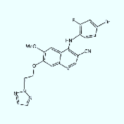 COc1cc2c(Nc3ccc(Br)cc3F)c(C#N)cnc2cc1OCCn1nccn1